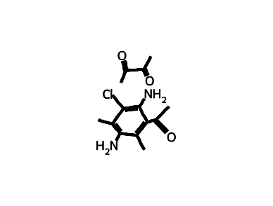 CC(=O)C(C)=O.CC(=O)c1c(C)c(N)c(C)c(Cl)c1N